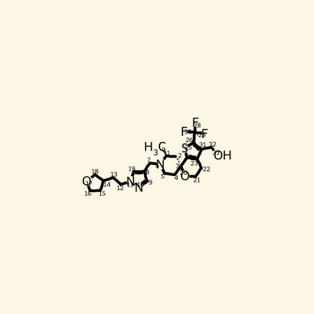 C[C@H]1C[C@@]2(CCN1Cc1cnn(CCC3CCOC3)c1)OCCc1c2sc(C(F)(F)F)c1CO